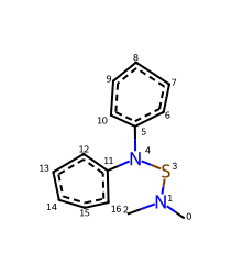 CN(C)SN(c1ccccc1)c1ccccc1